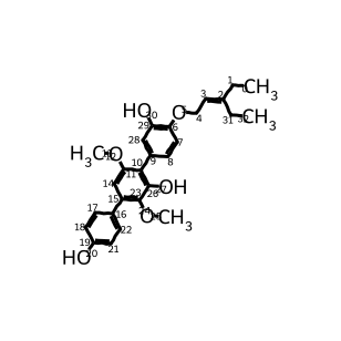 CCC(=CCOc1ccc(-c2c(OC)cc(-c3ccc(O)cc3)c(OC)c2O)cc1O)CC